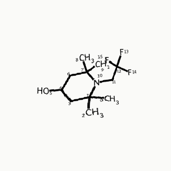 CC1(C)CC(O)CC(C)(C)N1CC(F)(F)F